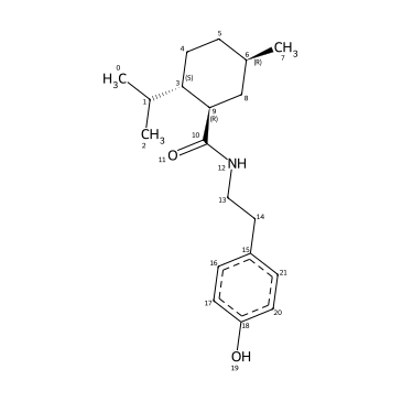 CC(C)[C@@H]1CC[C@@H](C)C[C@H]1C(=O)NCCc1ccc(O)cc1